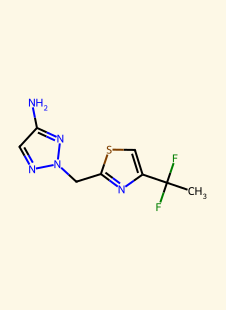 CC(F)(F)c1csc(Cn2ncc(N)n2)n1